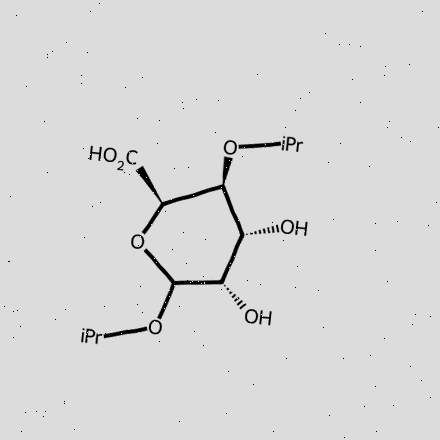 CC(C)OC1O[C@@H](C(=O)O)[C@@H](OC(C)C)[C@H](O)[C@@H]1O